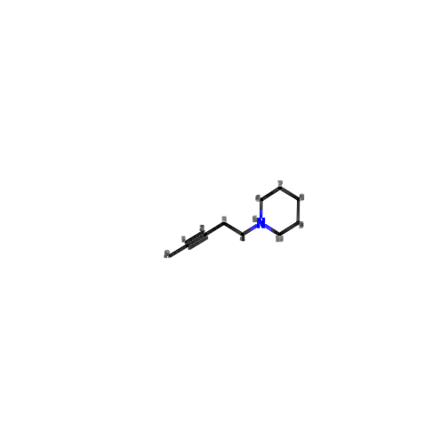 [CH2]C#CCCN1CCCCC1